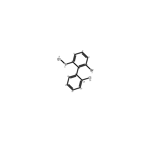 CCSc1cccc(Br)c1-c1ccccc1Cl